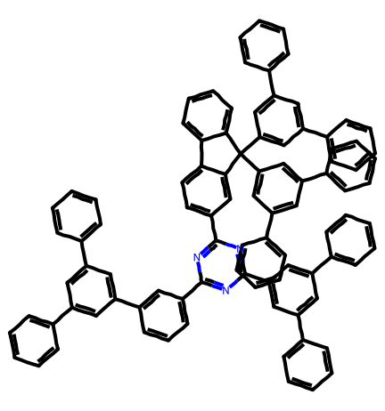 c1ccc(-c2cc(-c3ccccc3)cc(-c3cccc(-c4nc(-c5cc(-c6ccccc6)cc(-c6ccccc6)c5)nc(-c5ccc6c(c5)C(c5cc(-c7ccccc7)cc(-c7ccccc7)c5)(c5cc(-c7ccccc7)cc(-c7ccccc7)c5)c5ccccc5-6)n4)c3)c2)cc1